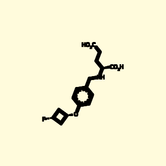 O=C(O)CC[C@H](NCc1ccc(O[C@H]2C[C@@H](F)C2)cc1)C(=O)O